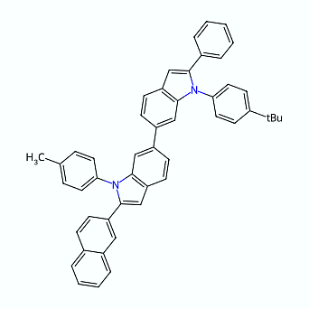 Cc1ccc(-n2c(-c3ccc4ccccc4c3)cc3ccc(-c4ccc5cc(-c6ccccc6)n(-c6ccc(C(C)(C)C)cc6)c5c4)cc32)cc1